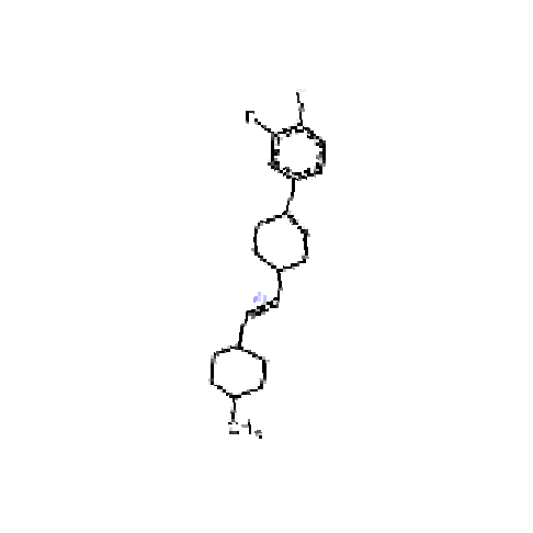 CC1CCC(/C=C/C2CCC(c3ccc(F)c(F)c3)CC2)CC1